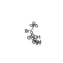 CC(C)NC(=O)Oc1ccc2c(=O)cc(-c3ccc(CCCC[P+](c4ccccc4)(c4ccccc4)c4ccccc4)cc3)oc2c1O.[Br-]